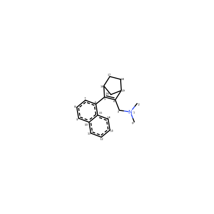 CN(C)CC1=C(c2cccc3ccccc23)C2CCC1C2